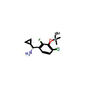 CC(C)(C)[Si](C)(C)Oc1c(Cl)ccc([C@H](N)C2CC2)c1F